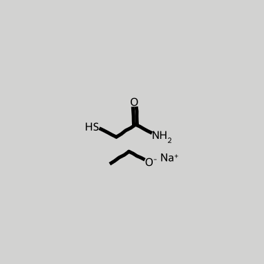 CC[O-].NC(=O)CS.[Na+]